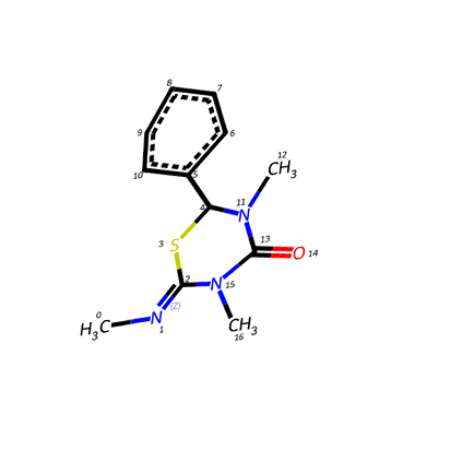 C/N=C1\SC(c2ccccc2)N(C)C(=O)N1C